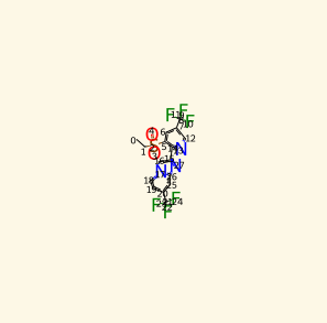 CCS(=O)(=O)c1cc(C(F)(F)F)cnc1-c1cn2ccc(C(F)(F)F)cc2n1